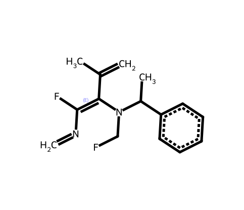 C=N/C(F)=C(/C(=C)C)N(CF)C(C)c1ccccc1